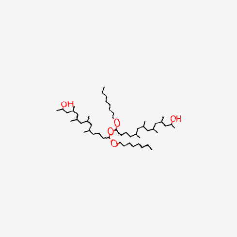 CCCCCCCCOC(CCCC(C)CC(C)CC(C)CC(C)CC(C)O)OC(CCCC(C)CC(C)CC(C)CC(C)CC(C)O)OCCCCCCCC